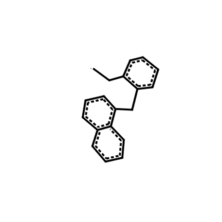 [CH2]Cc1ccccc1Cc1cccc2ccccc12